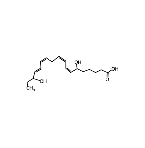 CCC(O)/C=C/C=C\C/C=C\C=C/C(O)CCCCC(=O)O